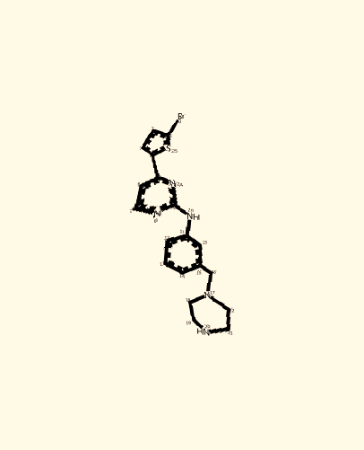 Brc1ccc(-c2ccnc(Nc3cccc(CN4CCNCC4)c3)n2)s1